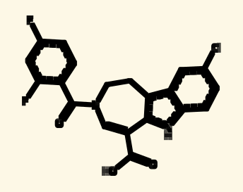 O=C(O)C1=CN(C(=O)c2ccc(F)cc2F)CCc2c1[nH]c1ccc(Cl)cc21